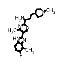 Cc1nc(C(N)CCC2CCN(C)CC2)ncc1-c1nc2c(C)c(F)ccc2[nH]1